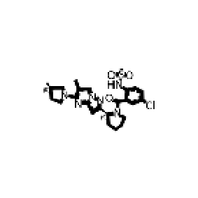 Cc1cn2nc([C@@H]3CCCCN3C(=O)c3cc(Cl)ccc3NS(C)(=O)=O)cc2nc1N1CC[C@@H](C)C1